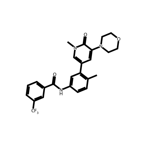 Cc1ccc(NC(=O)c2cccc(C(F)(F)F)c2)cc1-c1cc(N2CCOCC2)c(=O)n(C)c1